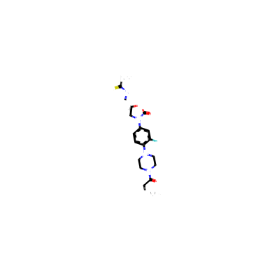 CNC(=S)NC[C@H]1CN(c2ccc(N3CCN(C(=O)COC)CC3)c(F)c2)C(=O)O1